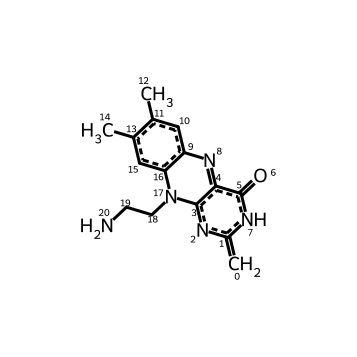 C=c1nc2c(c(=O)[nH]1)=Nc1cc(C)c(C)cc1N2CCN